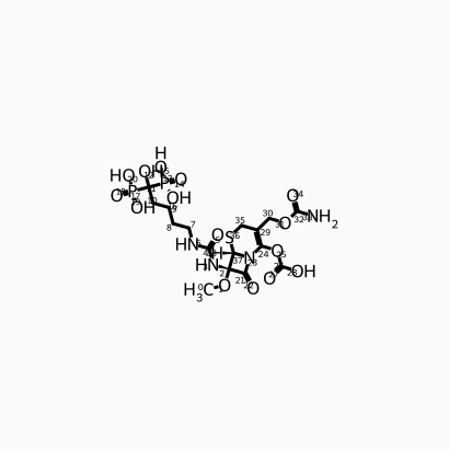 CO[C@@]1(NC(=O)NCCCCC(O)(P(=O)(O)O)P(=O)(O)O)C(=O)N2C(OC(=O)O)=C(COC(N)=O)CS[C@H]21